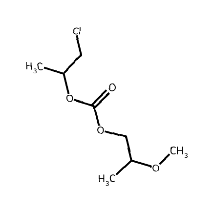 COC(C)COC(=O)OC(C)CCl